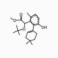 COC(=O)C(OC(C)(C)C)c1c(C)ccc(O)c1C1=CCC(C)(C)CC1